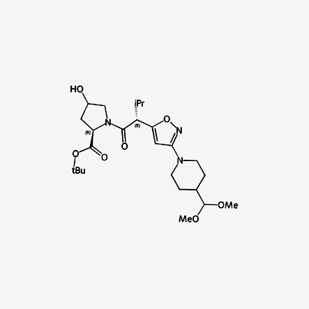 COC(OC)C1CCN(c2cc([C@H](C(=O)N3CC(O)C[C@@H]3C(=O)OC(C)(C)C)C(C)C)on2)CC1